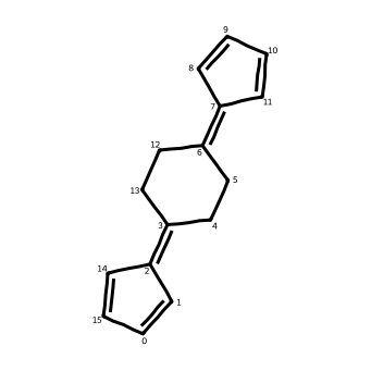 C1=CC(=C2CCC(=C3C=CC=C3)CC2)C=C1